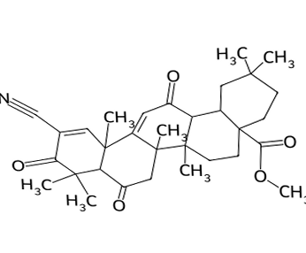 COC(=O)C12CCC(C)(C)CC1C1C(=O)C=C3C4(C)C=C(C#N)C(=O)C(C)(C)C4C(=O)CC3(C)C1(C)CC2